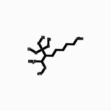 CCCCCCCCCCCCCCCC(C(SCCC)C(=O)O)[Si](OCC)(OCC)OCC